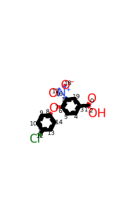 O=C(O)c1ccc(Oc2ccc(Cl)cc2)c([N+](=O)[O-])c1